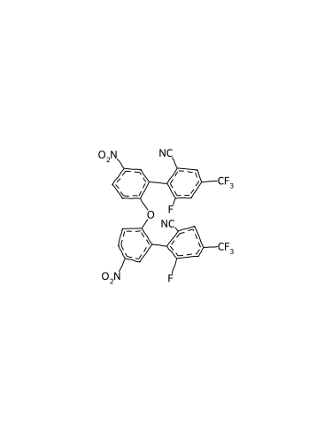 N#Cc1cc(C(F)(F)F)cc(F)c1-c1cc([N+](=O)[O-])ccc1Oc1ccc([N+](=O)[O-])cc1-c1c(F)cc(C(F)(F)F)cc1C#N